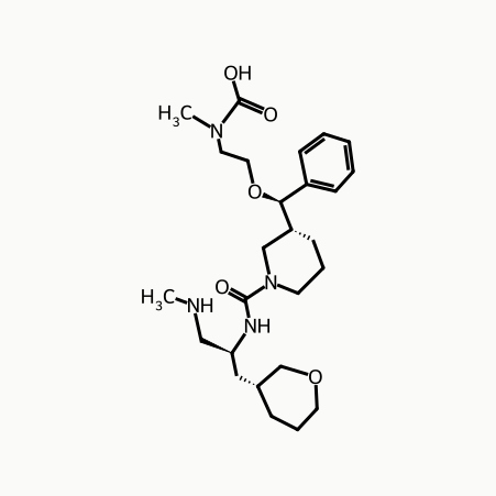 CNC[C@H](C[C@H]1CCCOC1)NC(=O)N1CCC[C@@H]([C@@H](OCCN(C)C(=O)O)c2ccccc2)C1